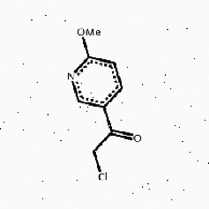 COc1ccc(C(=O)CCl)cn1